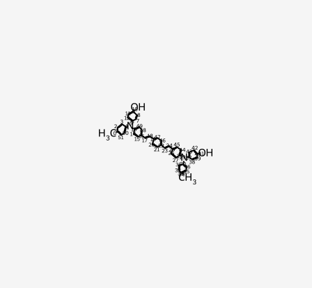 Cc1ccc(N(c2ccc(O)cc2)c2ccc(/C=C/c3ccc(/C=C/c4ccc(N(c5ccc(C)cc5)c5ccc(O)cc5)cc4)cc3)cc2)cc1